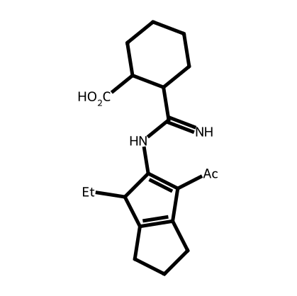 CCC1C2=C(CCC2)C(C(C)=O)=C1NC(=N)C1CCCCC1C(=O)O